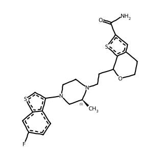 C[C@H]1CN(c2csc3cc(F)ccc23)CCN1CCC1OCCc2cc(C(N)=O)sc21